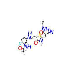 C#CCNC(=O)C(C#N)CC1SC(CCNc2ccc(F)c(NC(=O)C(C)(C)C)c2)C(=O)N1CC